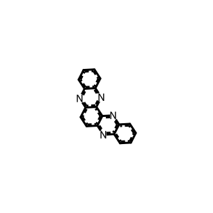 c1ccc2nc3c(ccc4nc5ccccc5nc43)nc2c1